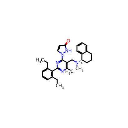 CCc1cccc(CC)c1-c1nc(C)c(CN(C)[C@H]2CCCc3ccccc32)c(-n2ccc(=O)[nH]2)n1